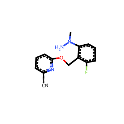 CN(N)c1cccc(F)c1COc1cccc(C#N)n1